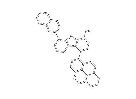 Cc1ccc(-c2ccc3ccc4cccc5ccc2c3c45)c2c1oc1c(-c3ccc4ccccc4c3)cccc12